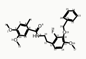 COc1cc(C)c(C(=O)NCCc2ccc(OC)c(OCc3ccccc3)c2F)cc1OC